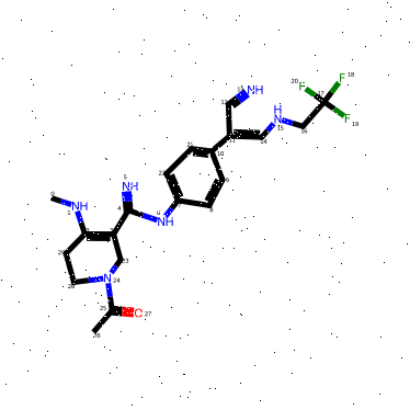 CNC1=C(C(=N)Nc2ccc(/C(C=N)=C/NCC(F)(F)F)cc2)CN(C(C)=O)CC1